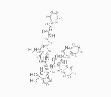 CC(C)(O)c1cnnn1[C@H]1C[C@@H](C(=O)NC(CCCCNC(=O)OCc2ccccc2)C(=O)C(N)=O)N(C(=O)[C@@H](CC2CCCCC2)NC(=O)c2cnc3cnccc3c2)C1